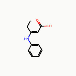 CCC(=CC(=O)O)Nc1ccccc1